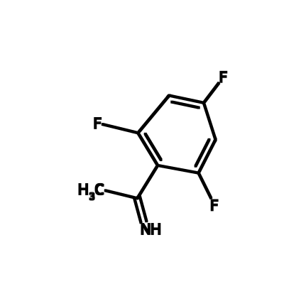 CC(=N)c1c(F)cc(F)cc1F